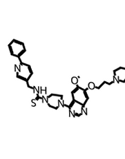 COc1cc2c(N3CCN(C(=S)NCc4ccc(-c5ccccc5)nc4)CC3)ncnc2cc1OCCCN1CCCCC1